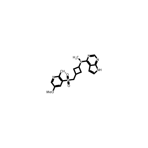 COc1cnc(C)c(S(=O)(=O)CC2CC(N(C)c3ncnc4[nH]ccc34)C2)c1